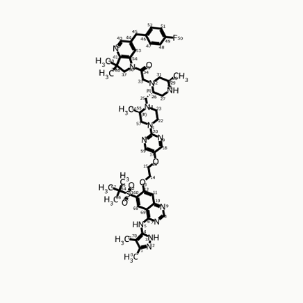 Cc1n[nH]c(Nc2ncnc3cc(OCCOc4cnc(N5CCN(C[C@H]6CN[C@H](C)CN6CC(=O)N6CC(C)(C)c7ncc(Cc8ccc(F)cc8)cc76)[C@H](C)C5)nc4)c(S(=O)(=O)C(C)(C)C)cc23)c1C